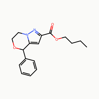 CCCCOC(=O)c1cc2n(n1)CCOC2c1ccccc1